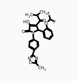 Cc1nc(-c2ccc(N3C(=O)C(O)=C(C(=O)C(C)C)C3c3ccccc3OC(F)F)cc2)no1